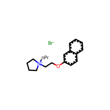 CCC[N+]1(CCOc2ccc3ccccc3c2)CCCC1.[Br-]